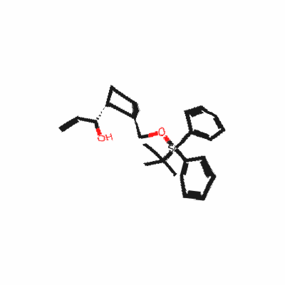 C=CC(O)[C@@H]1CC[C@H]1CO[Si](c1ccccc1)(c1ccccc1)C(C)(C)C